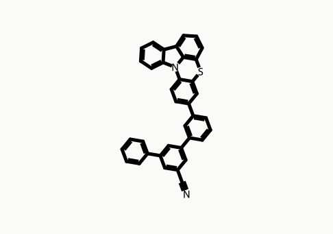 N#Cc1cc(-c2ccccc2)cc(-c2cccc(-c3ccc4c(c3)Sc3cccc5c6ccccc6n-4c35)c2)c1